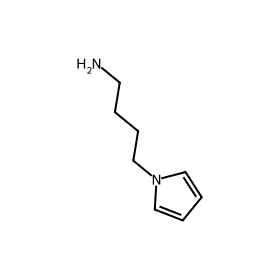 NCCCCn1cccc1